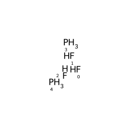 F.F.F.P.P